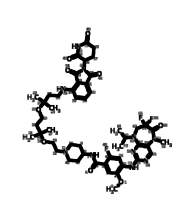 COc1cc(C(=O)NC2CCN(CCOC(C)(C)CCOC(C)(C)CCNc3cccc4c3C(=O)N(C3CCC(=O)NC3=O)C4=O)CC2)c(F)cc1Nc1ncc2c(n1)N(C(C)C)CC(F)(F)C(=O)N2C